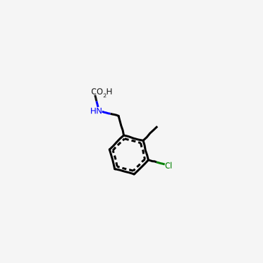 Cc1c(Cl)cccc1CNC(=O)O